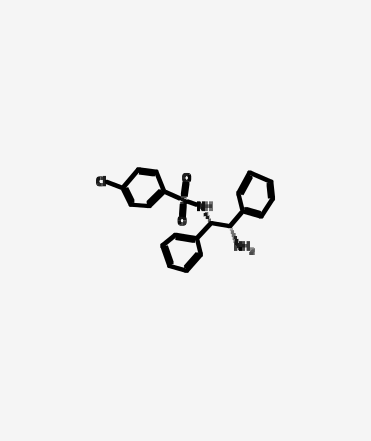 N[C@@H](c1ccccc1)[C@@H](NS(=O)(=O)c1ccc(Cl)cc1)c1ccccc1